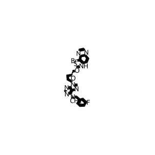 CN(Cc1cccc(F)c1)c1ncnc2c1ncn2C1CC[C@@H](COC(=S)Nc2ccc3nccnc3c2Br)O1